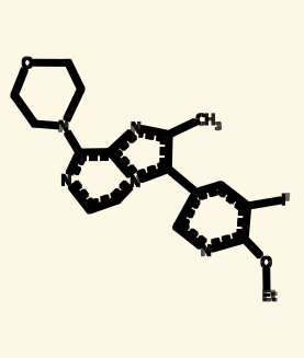 CCOc1ncc(-c2c(C)nc3c(N4CCOCC4)nccn23)cc1F